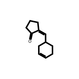 O=C1CCC/C1=C/C1CC=CCC1